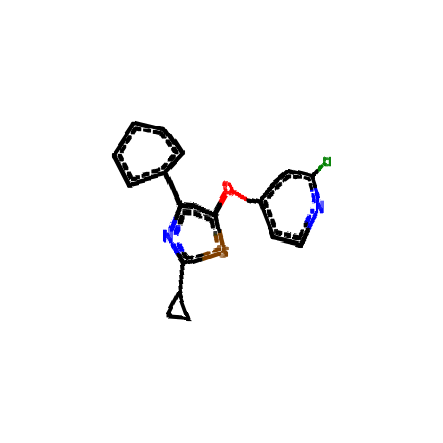 Clc1cc(Oc2sc(C3CC3)nc2-c2ccccc2)ccn1